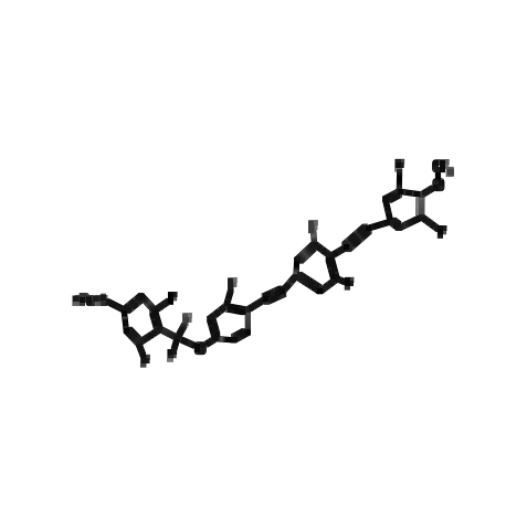 CCCCCc1cc(F)c(C(F)(F)Oc2ccc(C#Cc3cc(F)c(C#Cc4cc(F)c(OC(F)(F)F)c(F)c4)c(F)c3)c(F)c2)c(F)c1